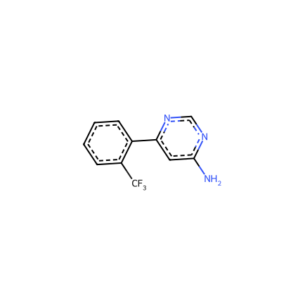 Nc1cc(-c2ccccc2C(F)(F)F)ncn1